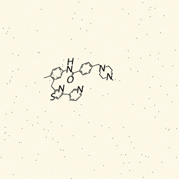 Cc1ccc(NC(=O)c2ccc(CN3CCN(C)CC3)cc2)cc1Cc1nc(-c2cccnc2)cs1